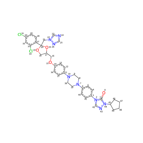 O=c1n(-c2ccc(N3CCN(c4ccc(OCC5COC(Cn6cncn6)(c6ccc(Cl)cc6Cl)O5)cc4)CC3)cc2)cnn1C1CCCC1